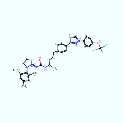 Cc1cc(C)c(N2CCS/C2=N\C(=O)NC(C)CCCc2ccc(-c3ncn(-c4ccc(OC(F)(F)F)cc4)n3)cc2)c(C)c1